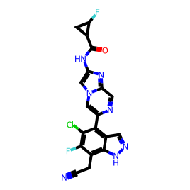 N#CCc1c(F)c(Cl)c(-c2cn3cc(NC(=O)C4CC4F)nc3cn2)c2cn[nH]c12